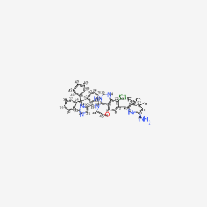 Cc1cc(N)nc(-c2cc3c4c(c2Cl)=NCNC=4N(Cc2cncn2C(c2ccccc2)(c2ccccc2)c2ccccc2)C=CO3)c1C(F)(F)F